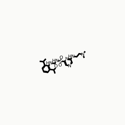 CC(C)c1cccc(C(C)C)c1NC(=O)NS(=O)(=O)c1cncc(NCCN(C)C)n1